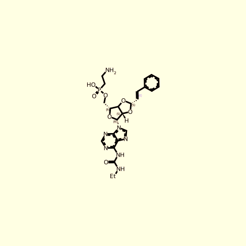 CCNC(=O)Nc1ncnc2c1ncn2[C@@H]1O[C@H](COP(=O)(O)CCN)C2O[C@H](/C=C/c3ccccc3)O[C@@H]21